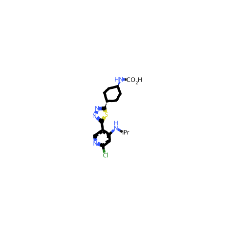 CC(C)Nc1cc(Cl)ncc1-c1nnc([C@H]2CC[C@H](NC(=O)O)CC2)s1